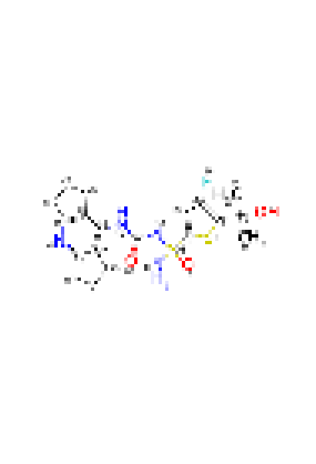 CC(C)(O)c1sc([S@](N)(=O)=NC(=O)Nc2c3c(nc4c2CCC4)CCC3)cc1F